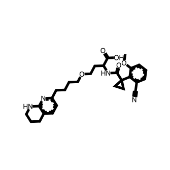 COc1cccc(C#N)c1C1(C(=O)NC(CCOCCCCc2ccc3c(n2)NCCC3)C(=O)O)CC1